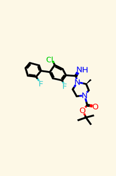 C[C@H]1CN(C(=O)OC(C)(C)C)CCN1C(=N)c1cc(Cl)c(-c2ccccc2F)cc1F